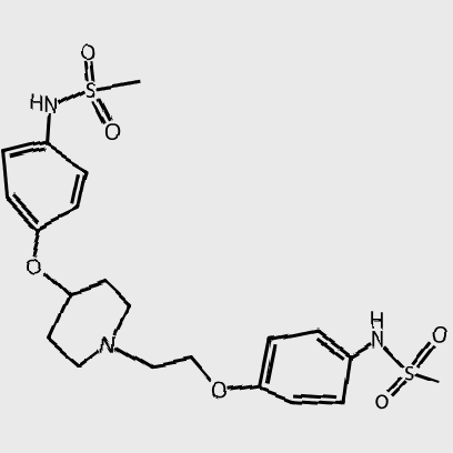 CS(=O)(=O)Nc1ccc(OCCN2CCC(Oc3ccc(NS(C)(=O)=O)cc3)CC2)cc1